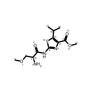 COC[C@H](N)C(=O)Nc1nc(C(=O)OC)c(C(C)C)s1